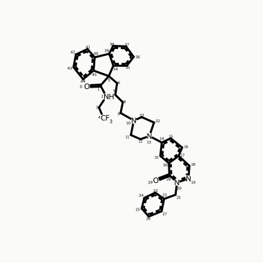 O=C(NCC(F)(F)F)C1(CCCCN2CCN(c3ccc4cnn(Cc5ccccc5)c(=O)c4c3)CC2)c2ccccc2-c2ccccc21